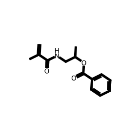 C=C(C)C(=O)NCC(C)OC(=O)c1ccccc1